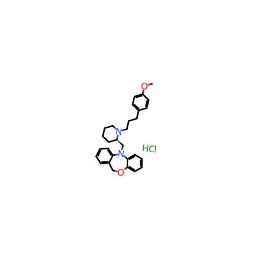 COc1ccc(CCCN2CCCC[C@@H]2CN2c3ccccc3COc3ccccc32)cc1.Cl